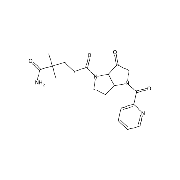 CC(C)(C[CH]C(=O)N1CCC2C1C(=O)CN2C(=O)c1ccccn1)C(N)=O